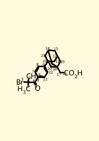 CC(C)(Br)C(=O)c1ccc(C23CC4CC(CC(CC(=O)O)(C4)C2)C3)cc1